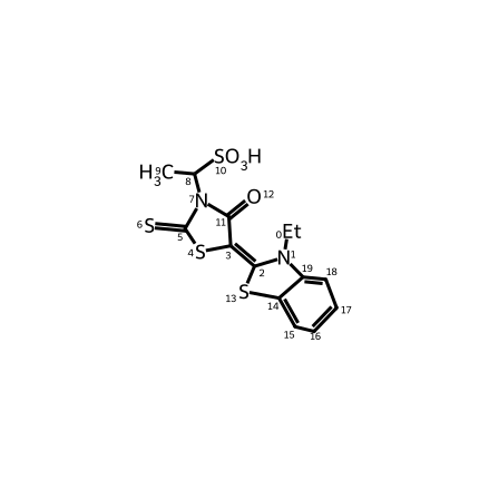 CCN1C(=C2SC(=S)N(C(C)S(=O)(=O)O)C2=O)Sc2ccccc21